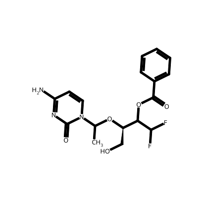 CC(O[C@H](CO)C(OC(=O)c1ccccc1)C(F)F)n1ccc(N)nc1=O